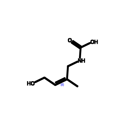 C/C(=C/CO)CNC(=O)O